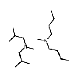 CC(C)CN(C)CC(C)C.CCCCN(C)CCCC